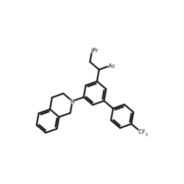 CC(=O)C(CC(C)C)c1cc(-c2ccc(C(F)(F)F)cc2)cc(N2CCc3ccccc3C2)c1